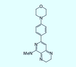 CNc1nc(-c2ccc(N3CCOCC3)cc2)cc2c1=NCCN=2